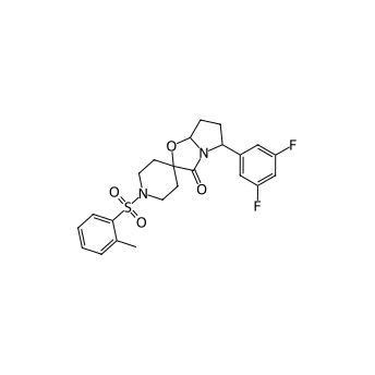 Cc1ccccc1S(=O)(=O)N1CCC2(CC1)OC1CCC(c3cc(F)cc(F)c3)N1C2=O